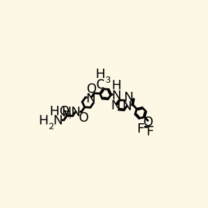 Cc1cc(Nc2nccn3c(-c4ccc(OC(F)F)cc4)cnc23)ccc1C(=O)N1CCC(C(=O)NC[C@H](O)CN)CC1